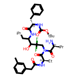 CC[C@@H](NC(=O)Cc1cccc(C)c1)C(=O)N(CC(F)(F)C(O)C(CC(C)C)NC(=O)[C@H](Cc1ccccc1)NC(=O)OC(C)(C)C)C(=O)[C@@H](N)C(C)C